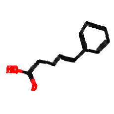 O=C(O)CCC=Cc1ccccc1